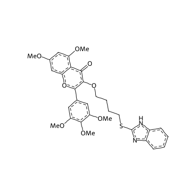 COc1cc(OC)c2c(=O)c(OCCCCSc3nc4ccccc4[nH]3)c(-c3cc(OC)c(OC)c(OC)c3)oc2c1